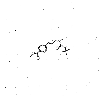 COC(=O)c1ccc(C=CCN(C)C(=O)OC(C)(C)C)cc1